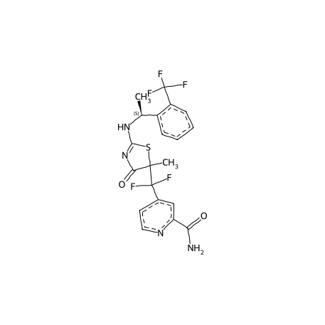 C[C@H](NC1=NC(=O)C(C)(C(F)(F)c2ccnc(C(N)=O)c2)S1)c1ccccc1C(F)(F)F